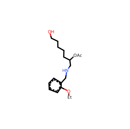 CCOc1ccccc1CNCC(CCCCCO)OC(C)=O